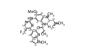 C=CC(=O)Nc1cc(Nc2ncc(C(F)(F)F)c(-c3cnc4c(ccn4C)c3)n2)c(OC)cc1N(C)CCN(C)C